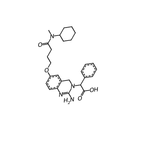 CN(C(=O)CCCOc1ccc2c(c1)CN(C(C(=O)O)c1ccccc1)C(N)=N2)C1CCCCC1